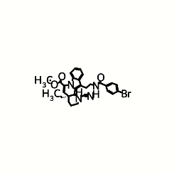 CC[C@]12C=C(C(=O)OC)n3c(c(CCNC(=O)c4ccc(Br)cc4)c4ccccc43)[C@H]1N(C#N)CCC2